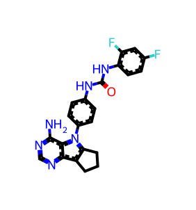 Nc1ncnc2c3c(n(-c4ccc(NC(=O)Nc5ccc(F)cc5F)cc4)c12)CCC3